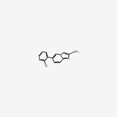 Cc1cn2cc(-c3cccnc3Cl)ccc2n1